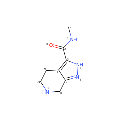 CNC(=O)c1[nH]nc2c1CCNC2